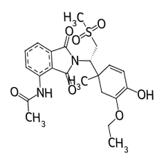 CCOC1=C(O)C=CC(C)([C@@H](CS(C)(=O)=O)N2C(=O)c3cccc(NC(C)=O)c3C2=O)C1